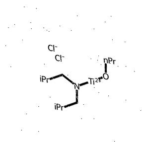 CCC[O][Ti+2][N](CC(C)C)CC(C)C.[Cl-].[Cl-]